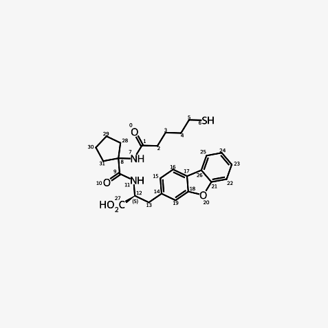 O=C(CCCCS)NC1(C(=O)N[C@@H](Cc2ccc3c(c2)oc2ccccc23)C(=O)O)CCCC1